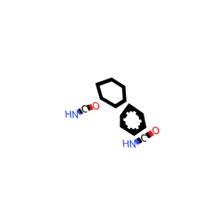 C1CCCCC1.N=C=O.N=C=O.c1ccccc1